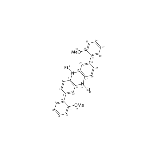 CCN1c2ccc(-c3ccccc3OC)cc2N(CC)c2ccc(-c3ccccc3OC)cc21